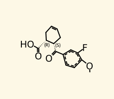 COc1ccc(C(=O)[C@H]2CC=CC[C@H]2C(=O)O)cc1F